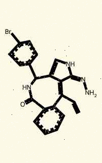 C=C/C1=C2/C(=CN/C2=N/N)C(c2ccc(Br)cc2)NC(=O)c2ccccc21